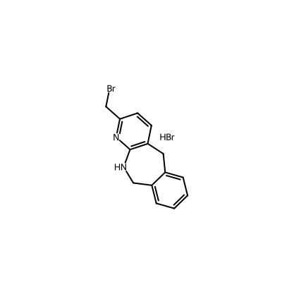 Br.BrCc1ccc2c(n1)NCc1ccccc1C2